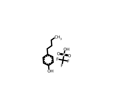 CCCCc1ccc(O)cc1.O=S(=O)(O)C(F)(F)F